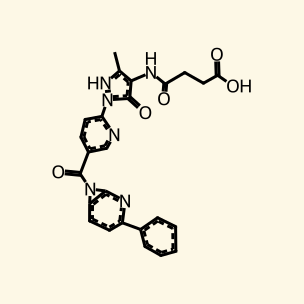 Cc1[nH]n(-c2ccc(C(=O)N3c4ccc(-c5ccccc5)nc43)cn2)c(=O)c1NC(=O)CCC(=O)O